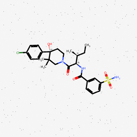 CC[C@H](C)[C@@H](NC(=O)c1cccc(S(N)(=O)=O)c1)C(=O)N1CC[C@](O)(c2ccc(Cl)cc2)C(C)(C)C1